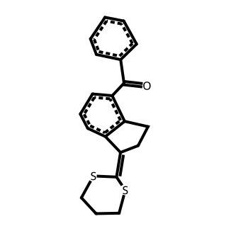 O=C(c1ccccc1)c1cccc2c1CCC2=C1SCCCS1